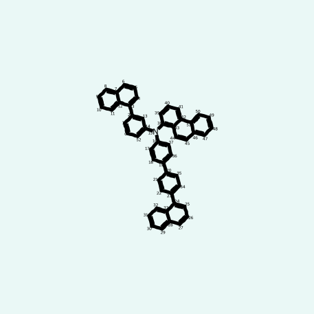 c1cc(-c2cccc3ccccc23)cc(N(c2ccc(-c3ccc(-c4cccc5ccccc45)cc3)cc2)c2cccc3c2ccc2ccccc23)c1